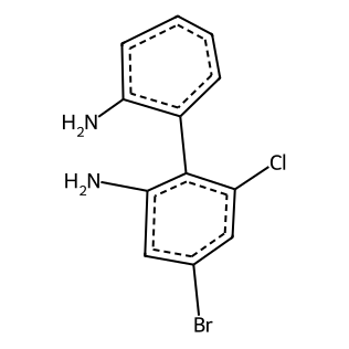 Nc1ccccc1-c1c(N)cc(Br)cc1Cl